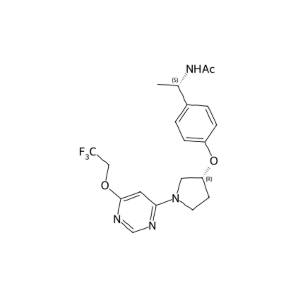 CC(=O)N[C@@H](C)c1ccc(O[C@@H]2CCN(c3cc(OCC(F)(F)F)ncn3)C2)cc1